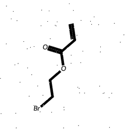 C=CC(=O)OCCBr